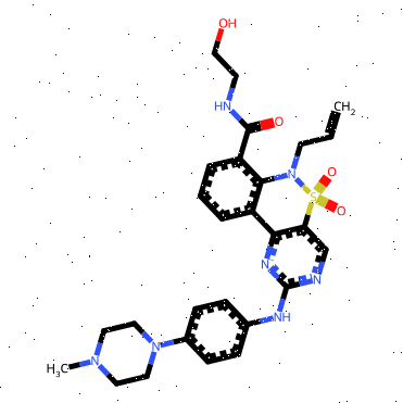 C=CCN1c2c(C(=O)NCCO)cccc2-c2nc(Nc3ccc(N4CCN(C)CC4)cc3)ncc2S1(=O)=O